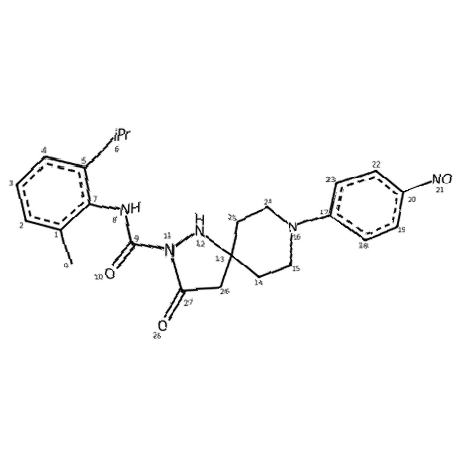 Cc1cccc(C(C)C)c1NC(=O)N1NC2(CCN(c3ccc(N=O)cc3)CC2)CC1=O